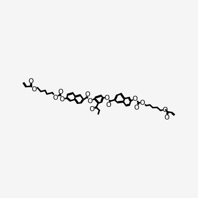 C=CC(=O)OCCCCCOC(=O)Oc1ccc2cc(C(=O)Oc3ccc(OC(=O)c4ccc5cc(OC(=O)OCCCCCOC(=O)C=C)ccc5c4)c(C(=O)CC)c3)ccc2c1